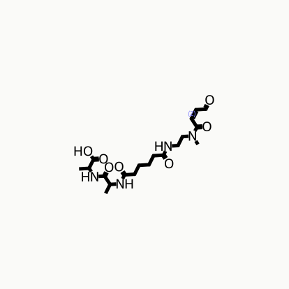 CC(NC(=O)C(C)NC(=O)CCCCC(=O)NCCN(C)C(=O)/C=C\C=O)C(=O)O